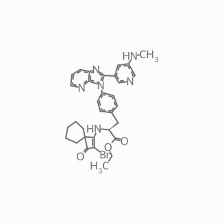 CCOC(=O)[C@H](Cc1ccc(-n2c(-c3cncc(NC)c3)nc3cccnc32)cc1)NC1=C(Br)C(=O)C12CCCCC2